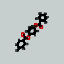 CC1CCC(C(=O)Oc2ccc(OC(=O)c3ccccc3)cc2)CC1